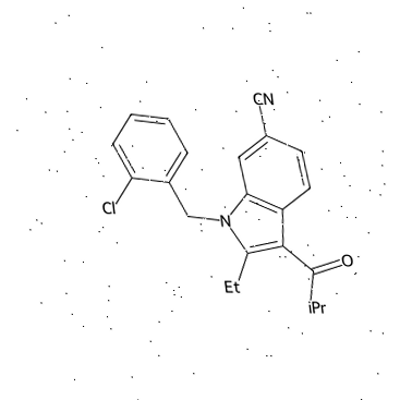 CCc1c(C(=O)C(C)C)c2ccc(C#N)cc2n1Cc1ccccc1Cl